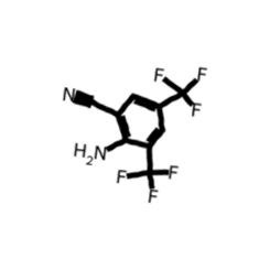 N#Cc1cc(C(F)(F)F)cc(C(F)(F)F)c1N